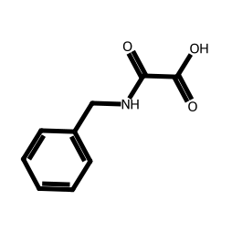 O=C(O)C(=O)NCc1ccccc1